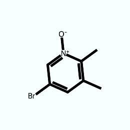 Cc1cc(Br)c[n+]([O-])c1C